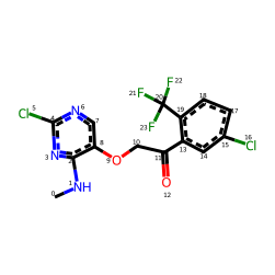 CNc1nc(Cl)ncc1OCC(=O)c1cc(Cl)ccc1C(F)(F)F